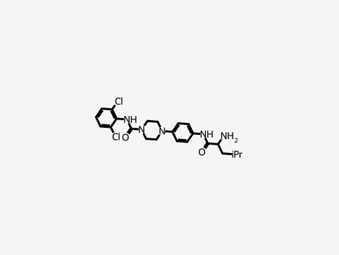 CC(C)CC(N)C(=O)Nc1ccc(N2CCN(C(=O)Nc3c(Cl)cccc3Cl)CC2)cc1